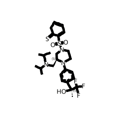 CC(C)N(C[C@H]1CN(S(=O)(=O)C2=CC=CCC2=S)CCN1c1ccc([C@](C)(O)C(F)(F)F)cc1)C(C)C